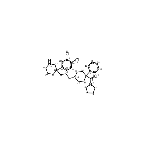 O=C(N1CCCC1)C1(c2ccccc2)CCN(CCCC2(c3ccc(Cl)c(Cl)c3)CCCNC2)CC1